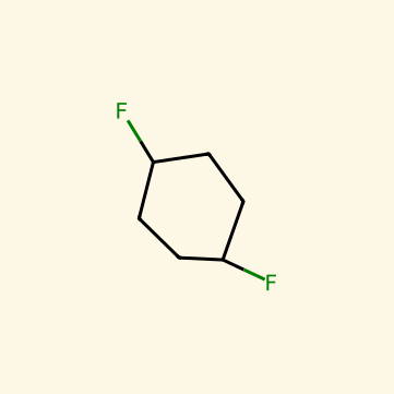 FC1CCC(F)CC1